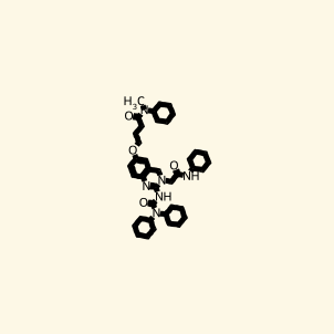 CN(C(=O)CCCOc1ccc2c(c1)CN(CC(=O)NC1CCCCC1)C(NC(=O)N(C1CCCCC1)C1CCCCC1)=N2)C1CCCCC1